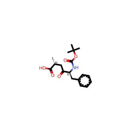 C[C@H](CC(=O)[C@H](Cc1ccccc1)NC(=O)OC(C)(C)C)C(=O)O